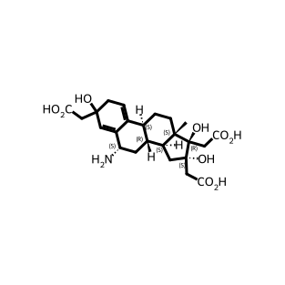 C[C@]12CC[C@@H]3C4=CCC(O)(CC(=O)O)C=C4[C@@H](N)C[C@H]3[C@@H]1C[C@](O)(CC(=O)O)[C@@]2(O)CC(=O)O